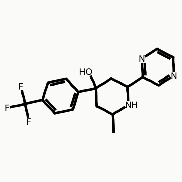 CC1CC(O)(c2ccc(C(F)(F)F)cc2)CC(c2cnccn2)N1